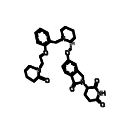 O=C1CCC(N2Cc3cc(OC[C@H]4CCCCN4Cc4ccccc4OCCN4CCCCC4=O)ccc3C2=O)C(=O)N1